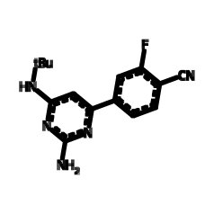 CC(C)(C)Nc1cc(-c2ccc(C#N)c(F)c2)nc(N)n1